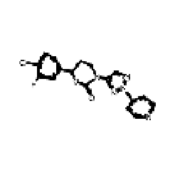 O=C1OC(c2ccc(Cl)c(F)c2)CCN1c1cnn(-c2ccncc2)n1